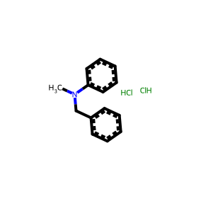 CN(Cc1ccccc1)c1ccccc1.Cl.Cl